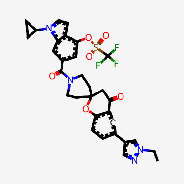 CCn1cc(-c2ccc3c(c2)C(=O)CC2(CCN(C(=O)c4cc(OS(=O)(=O)C(F)(F)F)c5ccn(C6CC6)c5c4)CC2)O3)cn1